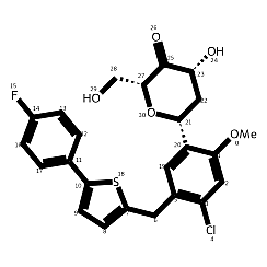 COc1cc(Cl)c(Cc2ccc(-c3ccc(F)cc3)s2)cc1[C@H]1C[C@@H](O)C(=O)[C@@H](CO)O1